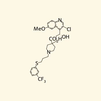 COc1ccc2ncc(Cl)c([C@H](O)CCC3(C(=O)O)CCN(CCCSc4cccc(C(F)(F)F)c4)CC3)c2c1